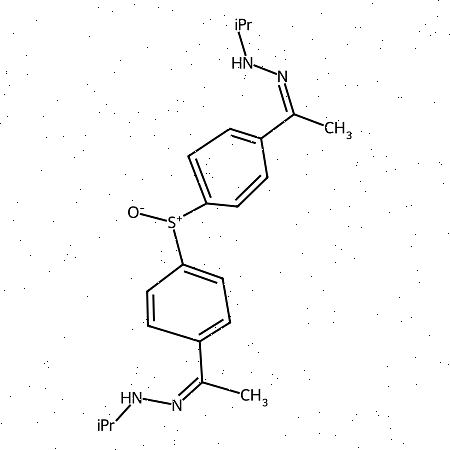 C/C(=N/NC(C)C)c1ccc([S+]([O-])c2ccc(/C(C)=N\NC(C)C)cc2)cc1